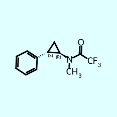 CN(C(=O)C(F)(F)F)[C@@H]1C[C@H]1c1ccccc1